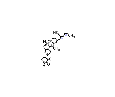 C#C/C(=C\C=C/C)CN1CC[C@H](C)[C@H](N(C)c2ncnc3c2CCN(c2cn[nH]c(=O)c2Cl)C3)C1